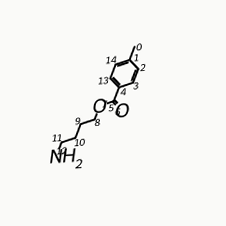 Cc1ccc(C(=O)OCCCCN)cc1